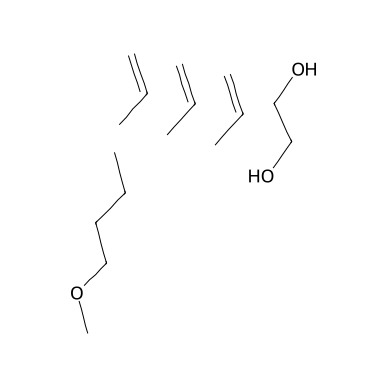 C=CC.C=CC.C=CC.CCCCOC.OCCO